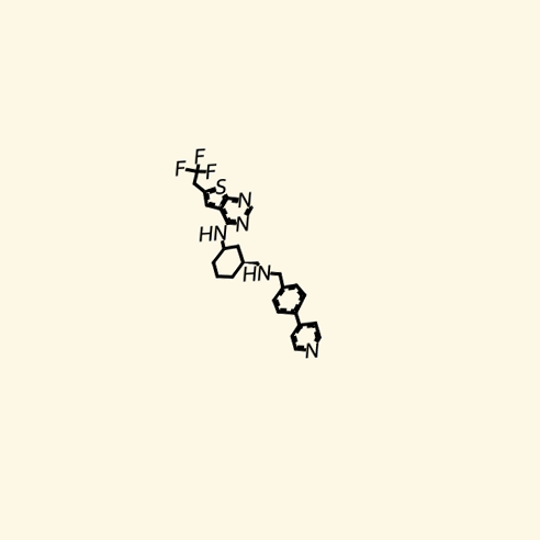 FC(F)(F)Cc1cc2c(NC3CCC[C@H](CNCc4ccc(-c5ccncc5)cc4)C3)ncnc2s1